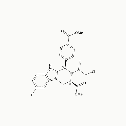 COC(=O)c1ccc([C@@H]2c3[nH]c4ccc(F)cc4c3C[C@H](C(=O)OC)N2C(=O)CCl)cc1